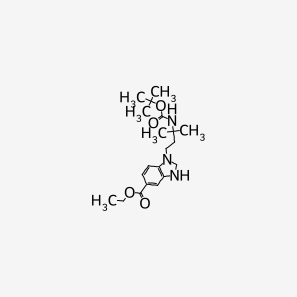 CCOC(=O)c1ccc2c(c1)NCN2CCC(C)(C)NC(=O)OC(C)(C)C